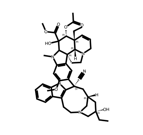 CC[C@]1(O)C[C@@H]2CN(CCc3c([nH]c4ccccc34)[C@@](C#N)(c3cc4c(cc3OC)N(C)C3C(O)(C(=O)OC)[C@H](OC(C)=O)[C@]5(CC)C=CCN6CC[C@]43[C@@H]65)C2)C1